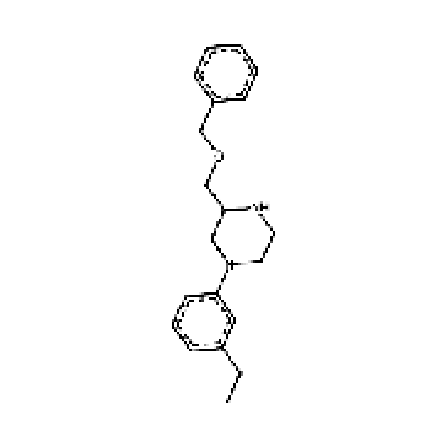 CCc1cccc(N2CCNC(COCc3ccccc3)C2)c1